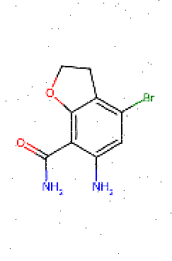 NC(=O)c1c(N)cc(Br)c2c1OCC2